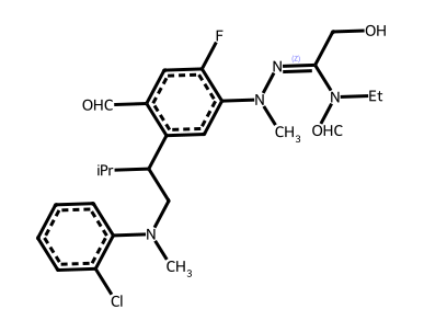 CCN(C=O)/C(CO)=N\N(C)c1cc(C(CN(C)c2ccccc2Cl)C(C)C)c(C=O)cc1F